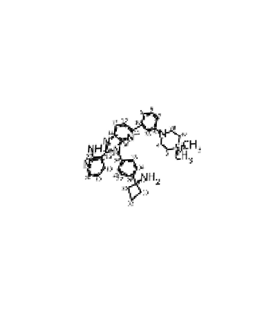 C[Si]1(C)CCN(c2cccc(-c3ccc4nc(-c5cccnc5N)n(-c5ccc(C6(N)CCC6)cc5)c4n3)c2)CC1